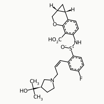 CC(C)(O)[C@@H]1CCN(C/C=C\c2cc(F)ccc2[S+]([O-])Nc2ccc3c(c2C(=O)O)OC[C@@H]2C[C@H]32)C1